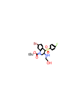 CC(C)(C)OC(=O)N1CC(NCCO)C(S(=O)(=O)c2ccc(F)cc2)c2ccc(Br)cc21